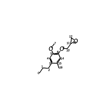 CCCc1cc(OC)c(OCC2CO2)cc1C